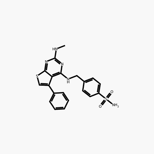 CNc1nc(NCc2ccc(S(N)(=O)=O)cc2)c2c(-c3ccccc3)csc2n1